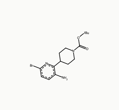 CC(C)(C)OC(=O)N1CCC(c2nc(Br)ccc2N)CC1